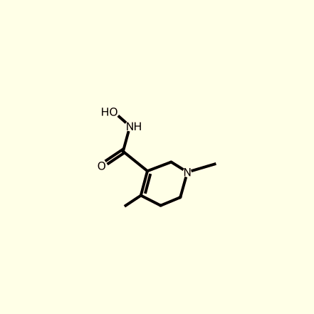 CC1=C(C(=O)NO)CN(C)CC1